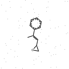 CC(=CC1CO1)c1ccccc1